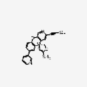 CC(C)(C)C#Cc1cc2c(cn1)Oc1ccc(-c3cccnc3)cc1[C@@]21COC(N)=N1